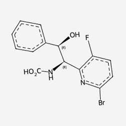 O=C(O)N[C@H](c1nc(Br)ccc1F)[C@H](O)c1ccccc1